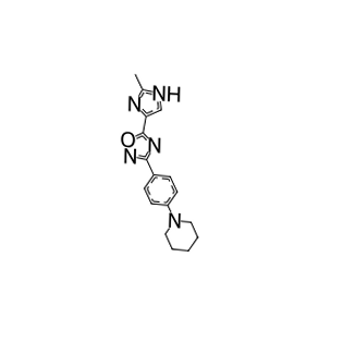 Cc1nc(-c2nc(-c3ccc(N4CCCCC4)cc3)no2)c[nH]1